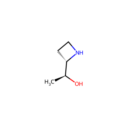 C[C@H](O)[C@@H]1CCN1